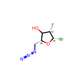 [N-]=[N+]=NC[C@H]1O[C@@H](Br)[C@@H](F)C1O